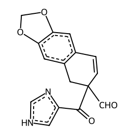 O=CC1(C(=O)c2c[nH]cn2)C=Cc2cc3c(cc2C1)OCO3